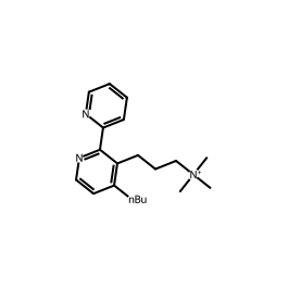 CCCCc1ccnc(-c2ccccn2)c1CCC[N+](C)(C)C